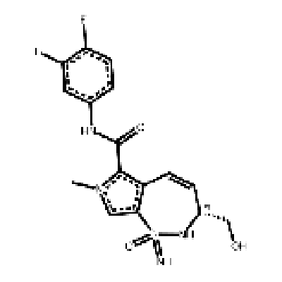 Cn1cc2c(c1C(=O)Nc1ccc(F)c(F)c1)C=C[C@H](CO)NS2(=N)=O